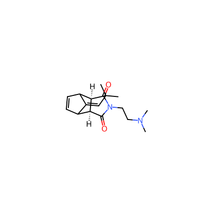 CC(C)/C=C1\C2C=CC1[C@@H]1C(=O)N(CCN(C)C)C(=O)[C@H]21